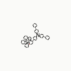 c1ccc(-c2ccc(N(c3ccc(-c4ccccc4)cc3)c3ccc(-c4cccc5c4Oc4ccccc4[Si]5(c4ccccc4)c4ccccc4)cc3)cc2)cc1